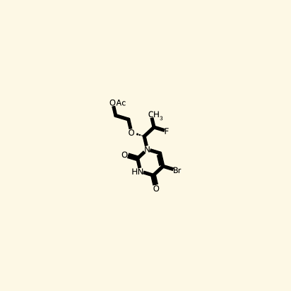 CC(=O)OCCO[C@H](C(C)F)n1cc(Br)c(=O)[nH]c1=O